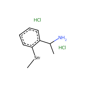 Cl.Cl.[CH3][Sn][c]1ccccc1C(C)N